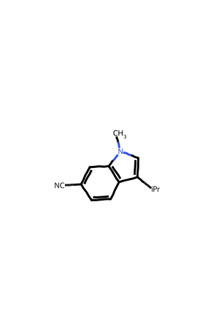 CC(C)c1cn(C)c2cc(C#N)ccc12